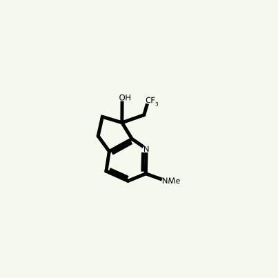 CNc1ccc2c(n1)C(O)(CC(F)(F)F)CC2